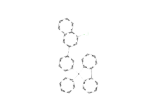 Clc1cc(-c2cccc(C3(c4ccccc4)c4ccccc4-c4ccccc43)c2)cc2ccccc12